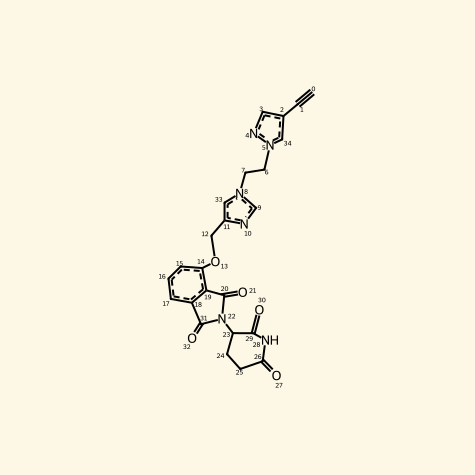 C#Cc1cnn(CCn2cnc(COc3cccc4c3C(=O)N(C3CCC(=O)NC3=O)C4=O)c2)c1